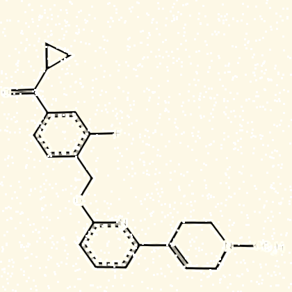 O=C(c1ccc(COc2cccc(C3=CCN(C(=O)O)CC3)n2)c(F)c1)C1CC1